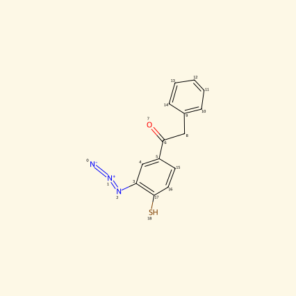 [N-]=[N+]=Nc1cc(C(=O)Cc2ccccc2)ccc1S